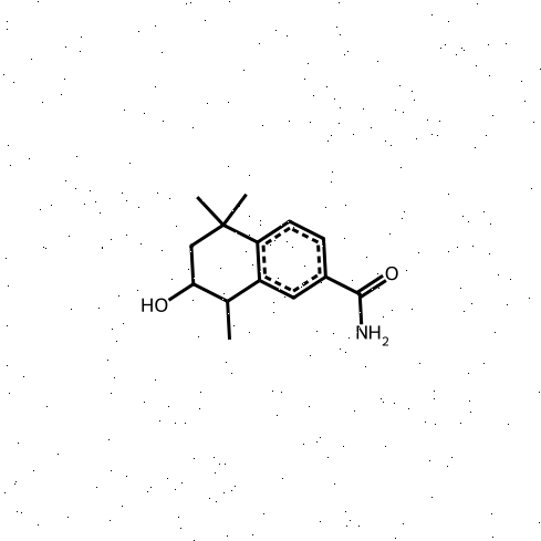 CC1c2cc(C(N)=O)ccc2C(C)(C)CC1O